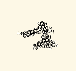 CN1CC[C@@H](c2c(O)cc(O)c3c(=O)cc(-c4ccc(C(F)(F)F)cc4Cl)oc23)[C@@H]1CO.CN1CC[C@@H](c2c(O)cc(O)c3c(=O)cc(-c4ccc(C(F)(F)F)cc4Cl)oc23)[C@@H]1CO.O=C(O)CC(=O)O